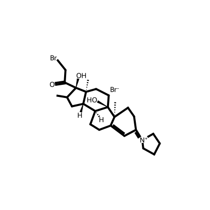 CC1C[C@H]2[C@@H]3CCC4=CC(=[N+]5CCCC5)CC[C@]4(C)[C@@]3(O)CC[C@]2(C)[C@@]1(O)C(=O)CBr.[Br-]